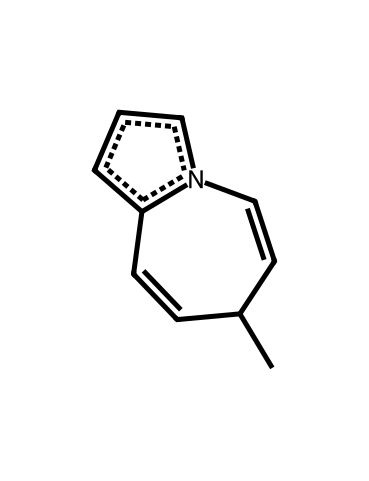 CC1C=Cc2cccn2C=C1